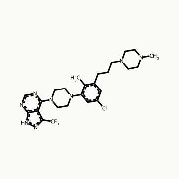 Cc1c(CCCN2CCN(C)CC2)cc(Cl)cc1N1CCN(c2ncnc3[nH]nc(C(F)(F)F)c23)CC1